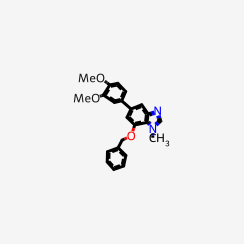 COc1ccc(-c2cc(OCc3ccccc3)c3c(c2)ncn3C)cc1OC